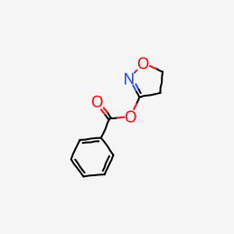 O=C(OC1=NOCC1)c1ccccc1